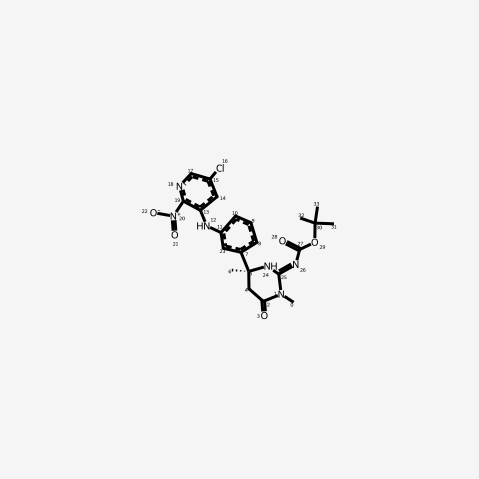 CN1C(=O)C[C@@](C)(c2cccc(Nc3cc(Cl)cnc3[N+](=O)[O-])c2)N/C1=N\C(=O)OC(C)(C)C